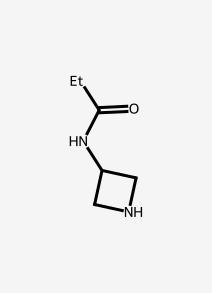 CCC(=O)NC1CNC1